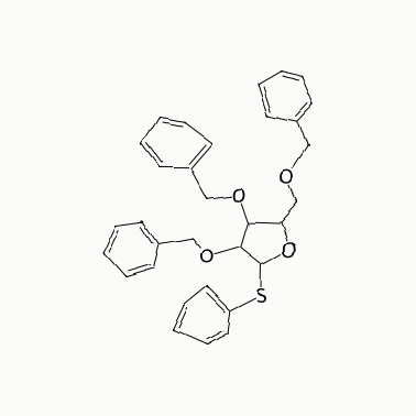 c1ccc(COCC2OC(Sc3ccccc3)C(OCc3ccccc3)C2OCc2ccccc2)cc1